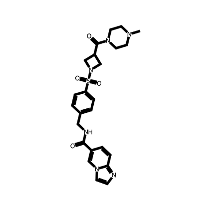 CN1CCN(C(=O)C2CN(S(=O)(=O)c3ccc(CNC(=O)c4ccc5nccn5c4)cc3)C2)CC1